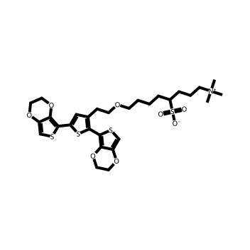 C[N+](C)(C)CCCC(CCCCOCCc1cc(-c2scc3c2OCCO3)sc1-c1scc2c1OCCO2)S(=O)(=O)[O-]